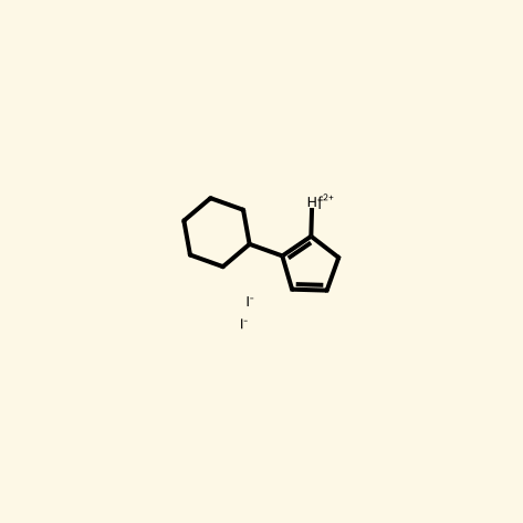 [Hf+2][C]1=C(C2CCCCC2)C=CC1.[I-].[I-]